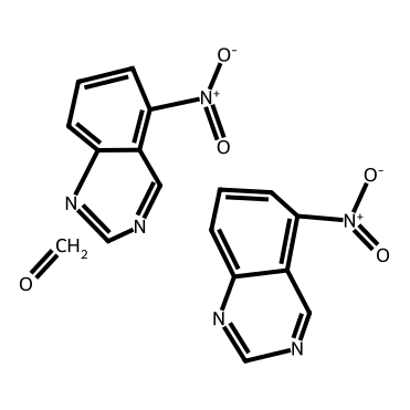 C=O.O=[N+]([O-])c1cccc2ncncc12.O=[N+]([O-])c1cccc2ncncc12